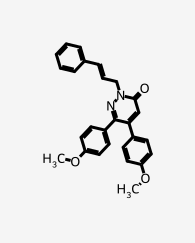 COc1ccc(-c2cc(=O)n(C/C=C/c3ccccc3)nc2-c2ccc(OC)cc2)cc1